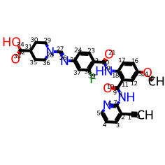 C#Cc1cccnc1NC(=O)c1cc(OC)ccc1NC(=O)c1ccc(N=CN2CCC(C(=O)O)CC2)cc1F